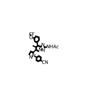 CC(=O)Nc1nc2c(-c3cccc(OC(F)(F)F)c3)c(C)c(-c3ccnn3-c3ccc(C#N)cc3)cn2n1